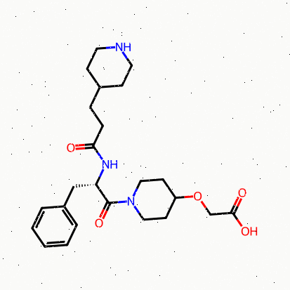 O=C(O)COC1CCN(C(=O)[C@H](Cc2ccccc2)NC(=O)CCC2CCNCC2)CC1